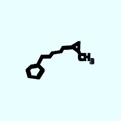 CC1CC1=CCCC=Cc1ccccc1